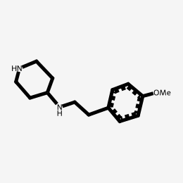 COc1ccc(CCNC2CCNCC2)cc1